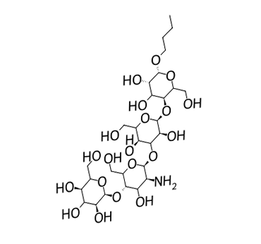 CCCCO[C@@H]1OC(CO)[C@@H](O[C@@H]2OC(CO)[C@H](O)C(O[C@@H]3OC(CO)[C@@H](O[C@@H]4OC(CO)[C@H](O)C(O)[C@@H]4O)C(O)[C@@H]3N)[C@@H]2O)C(O)[C@@H]1O